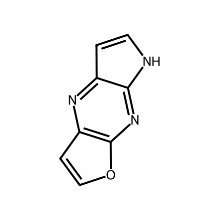 c1cc2nc3ccoc3nc2[nH]1